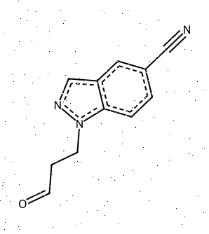 N#Cc1ccc2c(cnn2CCC=O)c1